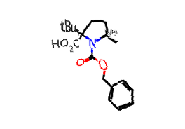 C[C@@H]1CC[C@@](C(=O)O)(C(C)(C)C)N1C(=O)OCc1ccccc1